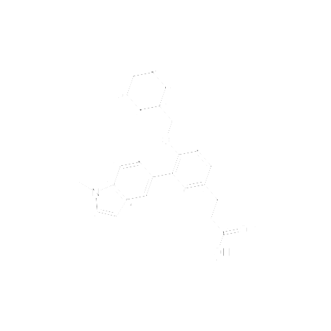 Cn1ccc2cc(-c3cc(CCC(=O)O)ccc3OCC3CCCCC3)ccc21